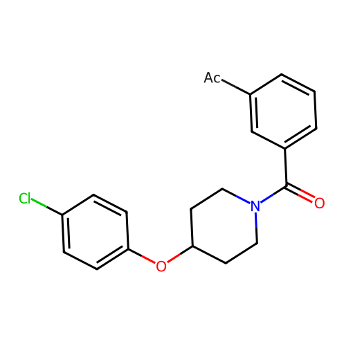 CC(=O)c1cccc(C(=O)N2CCC(Oc3ccc(Cl)cc3)CC2)c1